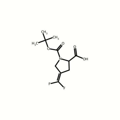 CC(C)(C)OC(=O)N1CC(=C(F)F)CC1C(=O)O